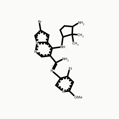 CCc1cc(OC)ncc1/N=C(\N)c1cnn2cc(Br)cc2c1NC1CCC(N)C1(C)C